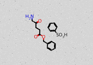 NCC(=O)CCC(=O)OCc1ccccc1.O=S(=O)(O)c1ccccc1